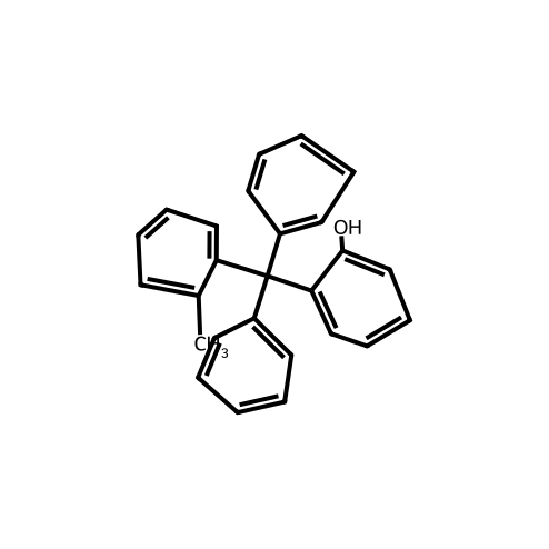 Cc1ccccc1C(c1ccccc1)(c1ccccc1)c1ccccc1O